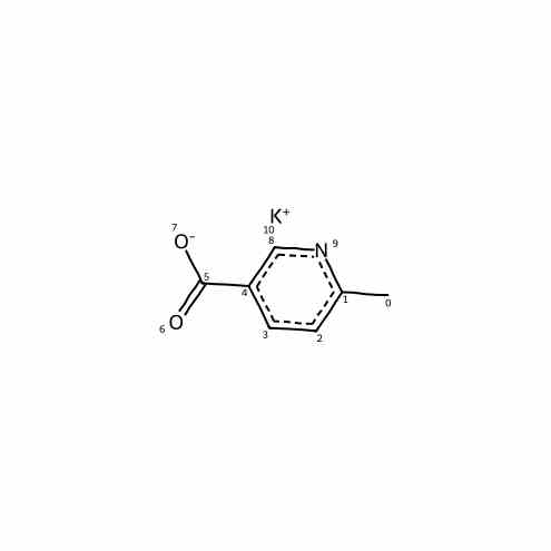 Cc1ccc(C(=O)[O-])cn1.[K+]